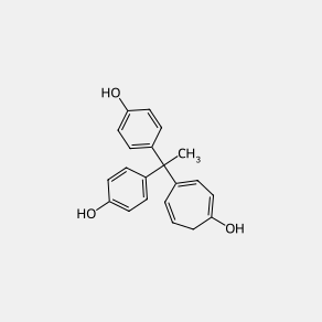 CC(C1=CC=C(O)CC=C1)(c1ccc(O)cc1)c1ccc(O)cc1